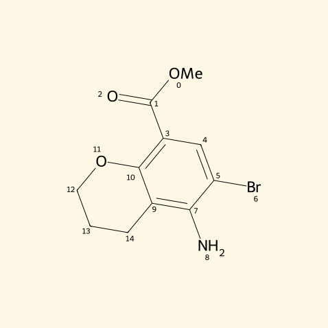 COC(=O)c1cc(Br)c(N)c2c1OCCC2